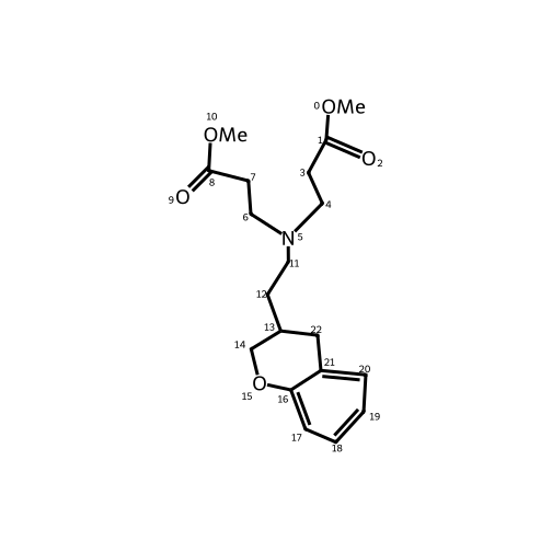 COC(=O)CCN(CCC(=O)OC)CCC1COc2ccccc2C1